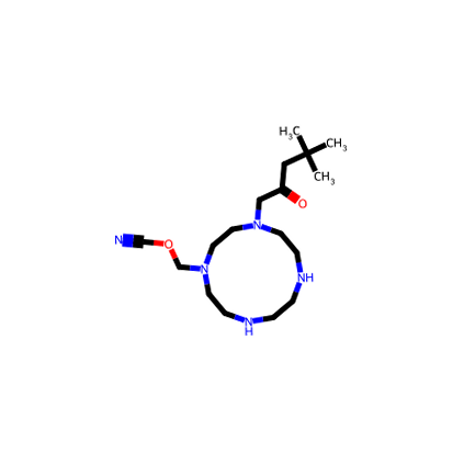 CC(C)(C)CC(=O)CN1CCNCCNCCN(COC#N)CC1